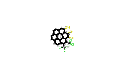 Sc1cc2ccc3ccc4ccc5c([Si](Cl)(Cl)Cl)c([Si](Cl)(Cl)Cl)c6c(S)c(S)c1c1c2c3c4c5c61